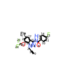 C#CCn1nc(NC(=O)c2ccc(F)cc2)c2cc(CC)cc(OC(F)F)c21